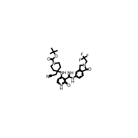 CC(C)(C)OC(=O)N1CCC(CC#N)(Nc2cc[nH]c(=O)c2C(=N)Nc2ccc3c(c2)CN(CC(F)(F)F)C3=O)CC1